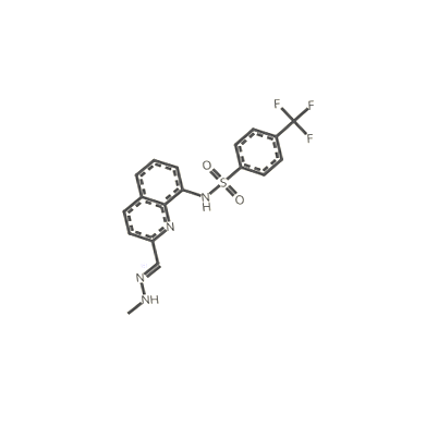 CN/N=C/c1ccc2cccc(NS(=O)(=O)c3ccc(C(F)(F)F)cc3)c2n1